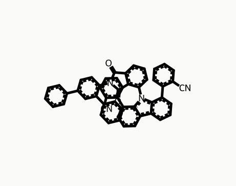 N#Cc1ccccc1-c1cccc2c3cccc(-c4ccccc4C#N)c3n(-c3cccc4c3C(=O)N(c3ccc(-c5ccccc5)cc3-c3ccccc3)C4=O)c12